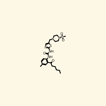 CCCCCC(=O)c1cc(C)ccc1NC(=O)Nc1ncc(CN2CCN(S(C)(=O)=O)CC2)s1